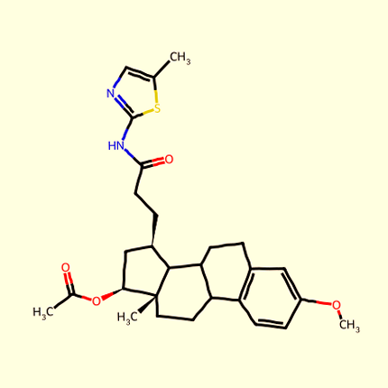 COc1ccc2c(c1)CCC1C2CC[C@@]2(C)C1[C@H](CCC(=O)Nc1ncc(C)s1)C[C@@H]2OC(C)=O